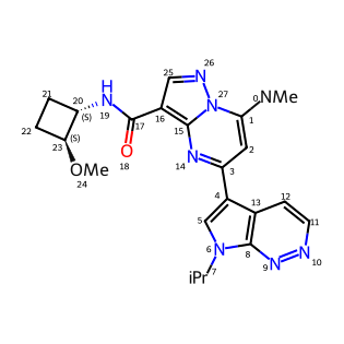 CNc1cc(-c2cn(C(C)C)c3nnccc23)nc2c(C(=O)N[C@H]3CC[C@@H]3OC)cnn12